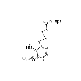 CCCCCCCOCCCCc1cccc(OC(=O)O)c1O